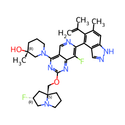 C=C(C)c1c(C)cc2[nH]ncc2c1-c1ncc2c(N3CCC[C@@](C)(O)C3)nc(OC[C@@]34CCCN3C[C@H](F)C4)nc2c1F